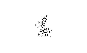 CC1=C(C)C(=O)C(CCC(C)C(=O)Nc2ccc(F)cc2)=C(C)C1=O